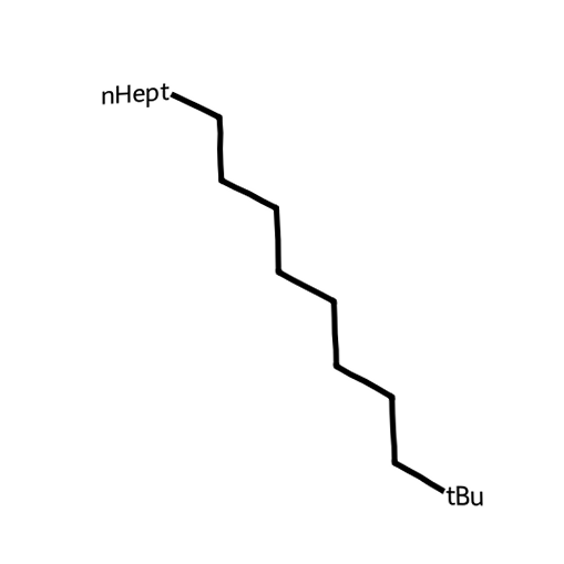 [CH2]C(C)(C)CCCCCCCCCCCCCCC